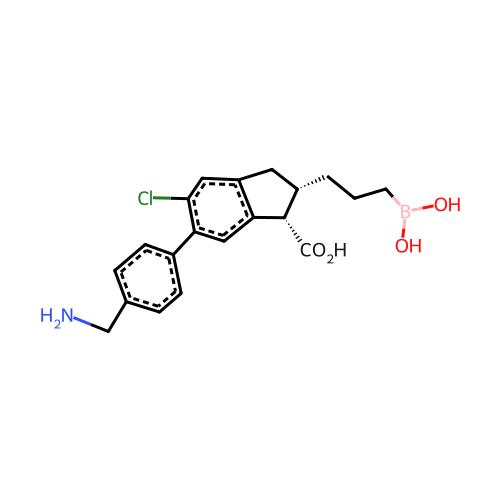 NCc1ccc(-c2cc3c(cc2Cl)C[C@H](CCCB(O)O)[C@@H]3C(=O)O)cc1